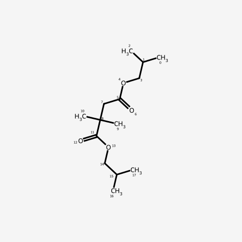 CC(C)COC(=O)CC(C)(C)C(=O)OCC(C)C